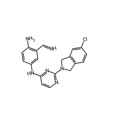 N=Cc1cc(Nc2ccnc(N3Cc4ccc(Cl)cc4C3)n2)ccc1N